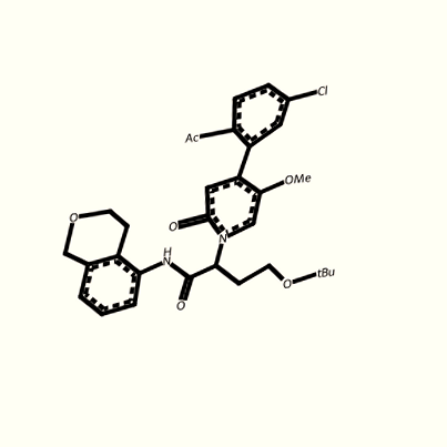 COc1cn(C(CCOC(C)(C)C)C(=O)Nc2cccc3c2CCOC3)c(=O)cc1-c1cc(Cl)ccc1C(C)=O